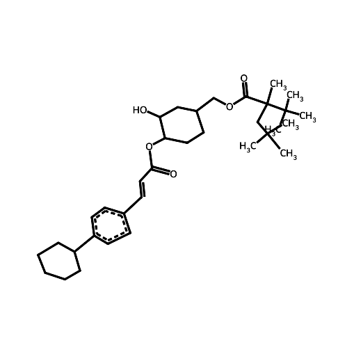 CC(C)(C)CC(C)(C(=O)OCC1CCC(OC(=O)/C=C/c2ccc(C3CCCCC3)cc2)C(O)C1)C(C)(C)C